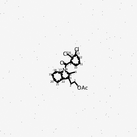 CC(=O)OCCc1c(C)n(C(=O)c2cccc(Cl)c2Cl)c2ccccc12